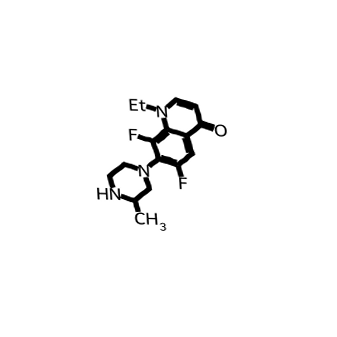 CCn1ccc(=O)c2cc(F)c(N3CCNC(C)C3)c(F)c21